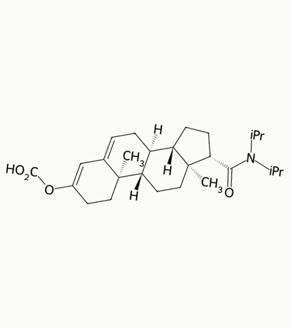 CC(C)N(C(=O)[C@H]1CC[C@H]2[C@@H]3CC=C4C=C(OC(=O)O)CC[C@]4(C)[C@H]3CC[C@]12C)C(C)C